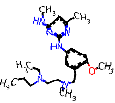 CCCN(CC)CCN(C)Cc1cc(Nc2nc(C)cc(NC)n2)ccc1OC